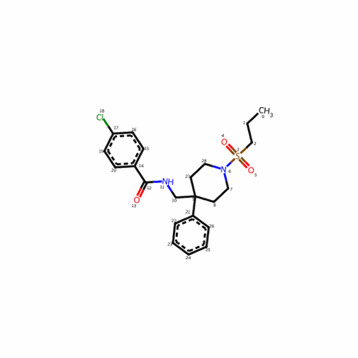 CCCS(=O)(=O)N1CCC(CNC(=O)c2ccc(Cl)cc2)(c2ccccc2)CC1